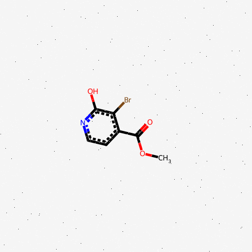 COC(=O)c1ccnc(O)c1Br